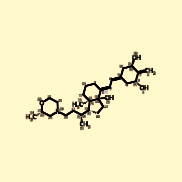 C=C1[C@H](O)CC(=C/C=C2\CCC[C@]3(C)[C@@H]([C@H](C)CCN4CCO[C@@H](C)C4)CC[C@@]23O)C[C@H]1O